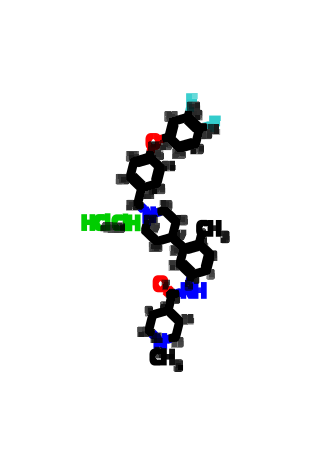 Cc1ccc(NC(=O)C2CCN(C)CC2)cc1C1CCN(Cc2ccc(Oc3ccc(F)c(F)c3)cc2)CC1.Cl.Cl